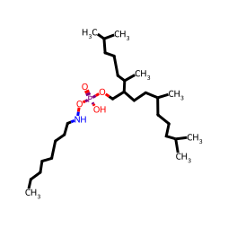 CCCCCCCCNOP(=O)(O)OCC(CCC(C)CCCC(C)C)C(C)CCCC(C)C